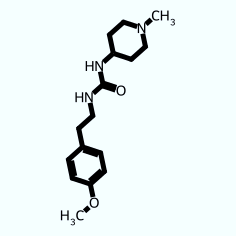 COc1ccc(CCNC(=O)NC2CCN(C)CC2)cc1